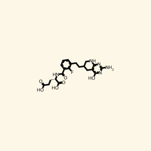 Nc1nc(O)c2c(n1)NCC(CCc1cccc(C(=O)N[C@@H](CCC(=O)O)C(=O)O)c1F)C2